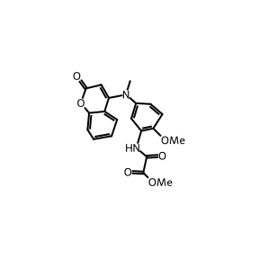 COC(=O)C(=O)Nc1cc(N(C)c2cc(=O)oc3ccccc23)ccc1OC